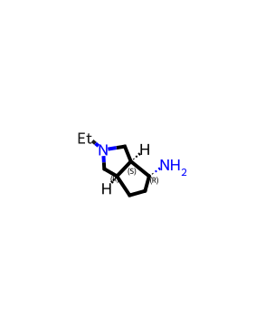 CCN1C[C@@H]2CC[C@@H](N)[C@@H]2C1